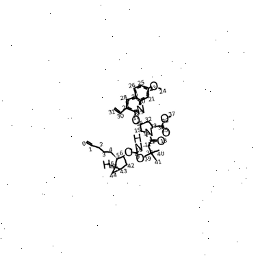 C=CCCC[C@H]1[C@H](OC(=O)N[C@H](C(=O)N2C[C@H](Oc3nc4cc(OC)ccc4cc3C=C)C[C@H]2C(=O)OC)C(C)(C)C)CC2C[C@@H]21